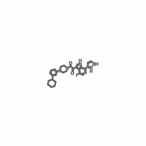 O=C(C(=O)N1CCN(c2cccc(C3CCCCC3)c2)CC1)c1c[nH]c2c(N3C=CNN3)ncc(F)c12